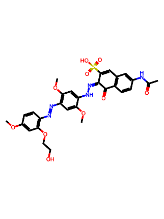 COc1ccc(/N=N/c2cc(OC)c(N/N=C3\C(=O)c4ccc(NC(C)=O)cc4C=C3S(=O)(=O)O)cc2OC)c(OCCO)c1